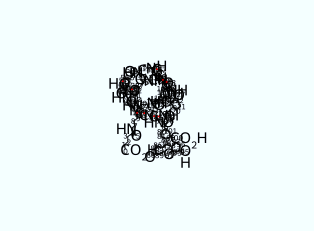 O=C(O)CCCC(=O)NCCCCC1CN2CCNC(=O)c3cccc(c3O)C(=O)NCCN(CCNC(=O)c3cccc(c3O)C(=O)N1)CCN1CCNC(=O)c3cccc(c3O)C(=O)NCCN(CC2)CC(CCCCNC(=O)c2ccc(-c3c4ccc(=O)cc-4oc4cc(O)ccc34)c(C(=O)O)c2)NC(=O)c2cccc(c2O)C(=O)NCC1